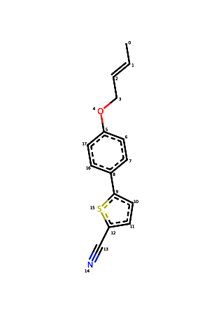 C/C=C/COc1ccc(-c2ccc(C#N)s2)cc1